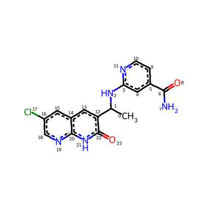 CC(Nc1cc(C(N)=O)ccn1)c1cc2cc(Cl)cnc2[nH]c1=O